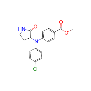 COC(=O)c1ccc(N(c2ccc(Cl)cc2)C2CCNC2=O)cc1